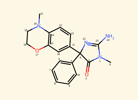 CN1C(=O)C(c2ccccc2)(c2ccc3c(c2)OCCN3C)N=C1N